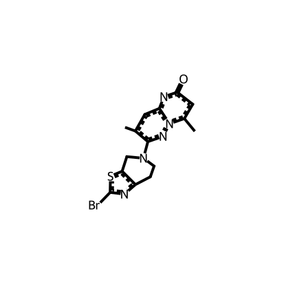 Cc1cc2nc(=O)cc(C)n2nc1N1CCc2nc(Br)sc2C1